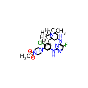 CN1C(C)(C)CC(Nc2nc(Nc3ccc(Cl)c(N4CCN(S(C)(=O)=O)CC4)c3)ncc2F)CC1(C)C